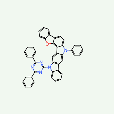 c1ccc(-c2nc(-c3ccccc3)nc(-n3c4ccccc4c4cc5c(cc43)c3c4oc6ccccc6c4ccc3n5-c3ccccc3)n2)cc1